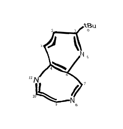 CC(C)(C)c1ccc2c(n1)C=NC=C=N2